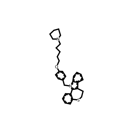 c1ccc2c(c1)SCCc1c-2n(Cc2ccc(OCCCCCN3CCCCC3)cc2)c2ccccc12